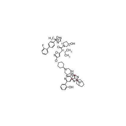 CC(C)[C@@H](C(=O)N1C[C@H](O)C[C@H]1C1=NO[C@@](C)(c2ccc(-c3ccccc3F)cc2)N1)c1cc(O[C@H]2CC[C@H](N3CCC(c4cnc(N5C6CCC5CN(c5c[nH]c7nnc(-c8ccccc8O)cc57)C6)nc4)CC3)CC2)no1